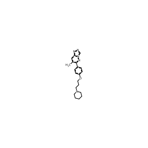 Cc1cc2nncn2nc1-c1ccc(OCCCN2CCCCC2)cc1